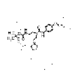 COc1ccc(NC(=O)N(CCNC(=O)OC(C)(C)C)CCN2CCCC2)cc1